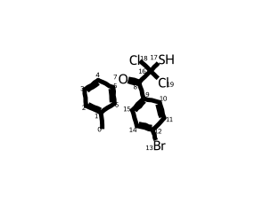 Cc1ccccc1.O=C(c1ccc(Br)cc1)C(S)(Cl)Cl